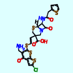 NCc1c(SC=CC2(C(=O)O)CS[C@@H]3C(NC(=O)Cc4cccs4)C(=O)N3C2)sc2sc(Cl)cc2c1=O